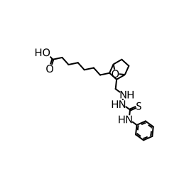 O=C(O)CCCCCCC1C2CCC(O2)C1CNNC(=S)Nc1ccccc1